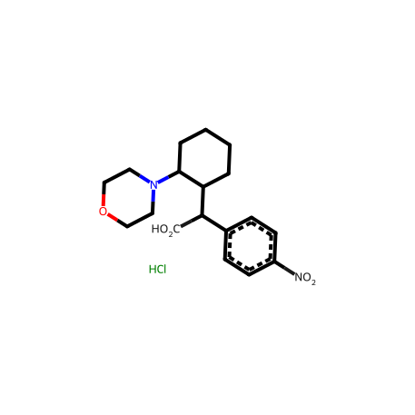 Cl.O=C(O)C(c1ccc([N+](=O)[O-])cc1)C1CCCCC1N1CCOCC1